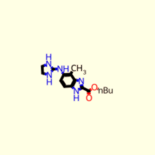 CCCCOC(=O)c1nc2c(C)c(NC3NCCN3)ccc2[nH]1